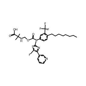 CCCCCCCCc1ccc(N(C(=O)OCNC(C)(C)C(=O)O)c2nc(-c3cccnc3)c(F)s2)cc1C(F)(F)F